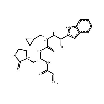 C=CC(=O)N[C@H](C[C@@H]1CCNC1=O)NC(=O)[C@H](CC1CC1)NC(O)c1cc2ccccc2[nH]1